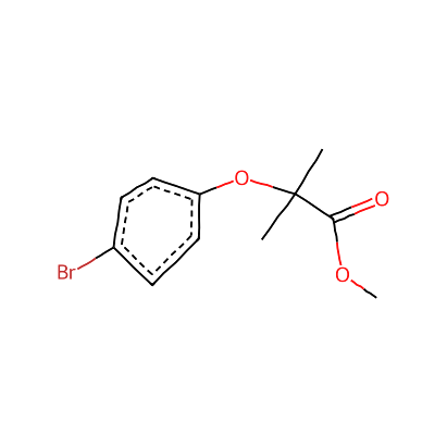 COC(=O)C(C)(C)Oc1ccc(Br)cc1